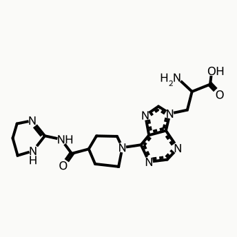 NC(Cn1cnc2c(N3CCC(C(=O)NC4=NCCCN4)CC3)ncnc21)C(=O)O